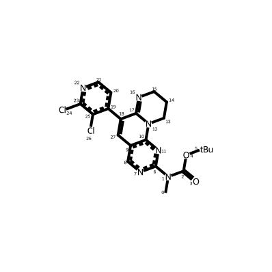 CN(C(=O)OC(C)(C)C)c1ncc2c(n1)N1CCCN=C1C(c1ccnc(Cl)c1Cl)=C2